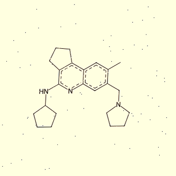 Cc1cc2c3c(c(NC4CCCC4)nc2cc1CN1CCCC1)CCC3